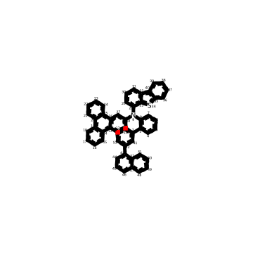 c1cc(-c2ccccc2N(c2ccc3c4ccccc4c4ccccc4c3c2)c2cccc3c2sc2ccccc23)cc(-c2cccc3ccccc23)c1